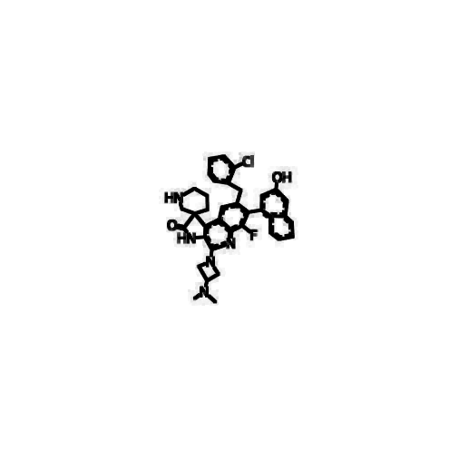 CN(C)C1CN(c2nc3c(F)c(-c4cc(O)cc5ccccc45)c(Cc4ccccc4Cl)cc3c3c2NC(=O)C32CCCNC2)C1